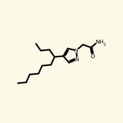 CCCCCCC(CCC)c1cnn(CC(N)=O)c1